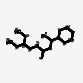 CC(CC(C(C)C)C1COCOC1)OCC(CO)CO